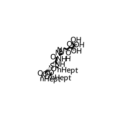 CCCCCCCC(=O)N[C@H](CSC[C@@H](COC(=O)CCCCCCC)OC(=O)CCCCCCC)C(=O)Nc1cn(C[C@H](O)C2OC(O)[C@@H](O)[C@@H]2O)nn1